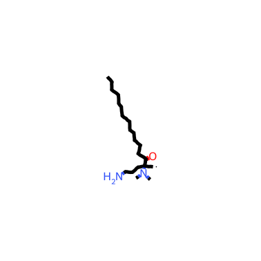 [CH2]C(CCCN)(C(=O)CCCCCCCCCCCCC)N(C)C